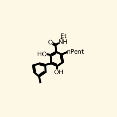 CCCCCc1cc(O)c(-c2cccc(C)c2)c(O)c1C(=O)NCC